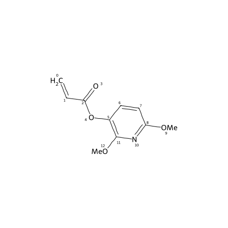 C=CC(=O)Oc1ccc(OC)nc1OC